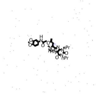 C=C(/C=C(/c1nc2c([nH]1)c(=O)n(CCC)c(=O)n2CCC)N(C)N)OCC(=O)Nc1ccc2c(c1)OCO2